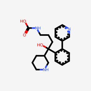 O=C(O)NCCCC(O)(c1ccccc1-c1cccnc1)C1CCCNC1